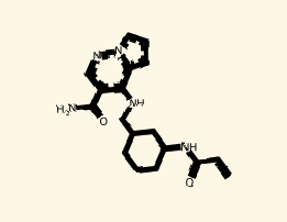 C=CC(=O)NC1CCCC(CNc2c(C(N)=O)cnn3cccc23)C1